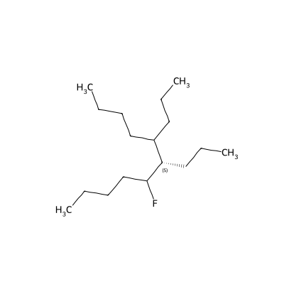 CCCCC(F)[C@@H](CCC)C(CCC)CCCC